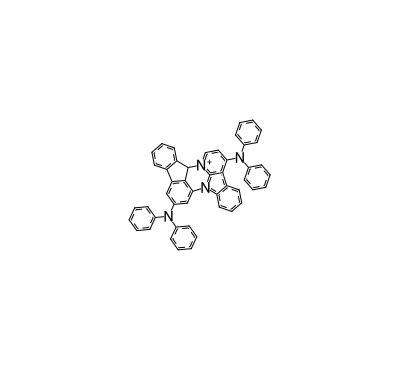 c1ccc(N(c2ccccc2)c2cc3c4c(c2)-n2c5ccccc5c5c(N(c6ccccc6)c6ccccc6)cc[n+](c52)C4c2ccccc2-3)cc1